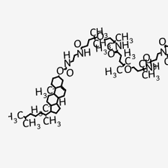 CC(C)CCC[C@@H](C)C1CCC2[C@@H]3CC=C4C[C@@H](OC(=O)NCCNC(=O)CCC(C)(C)OCCC(C)(C)NC(=O)CCC(C)(C)OCCC(C)(C)NC(=O)CCN5C(=O)C=CC5=O)CC[C@]4(C)C3CC[C@@]21C